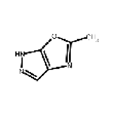 Cc1nc2cn[nH]c2o1